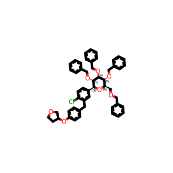 Clc1ccc([C@@H]2O[C@H](COCc3ccccc3)[C@@H](OCc3ccccc3)[C@H](OCc3ccccc3)[C@H]2OCc2ccccc2)cc1Cc1ccc(OC2CCOC2)cc1